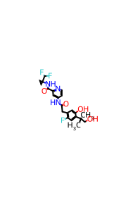 CC(C)(CO)c1cc(F)c(CC(=O)Nc2ccnc(C(=O)NC3(C(F)F)CC3)c2)cc1O